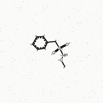 CONS(=O)(=O)Cc1ccccc1